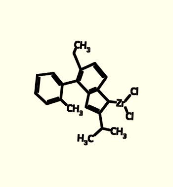 CCc1ccc2c(c1-c1ccccc1C)C=C(C(C)C)[CH]2[Zr]([Cl])[Cl]